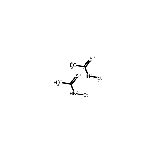 CCNC(C)=S.CCNC(C)=S